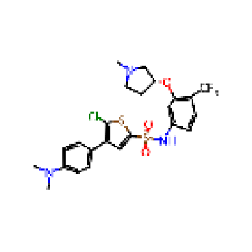 CN1CC[C@@H](Oc2cc(NS(=O)(=O)c3cc(-c4ccc(N(C)C)cc4)c(Cl)s3)ccc2C(F)(F)F)C1